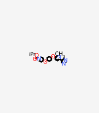 Cc1nc(-c2cncnc2)ccc1O[C@H]1CC[C@H](OC2CCN(C(=O)OC(C)C)CC2)CC1